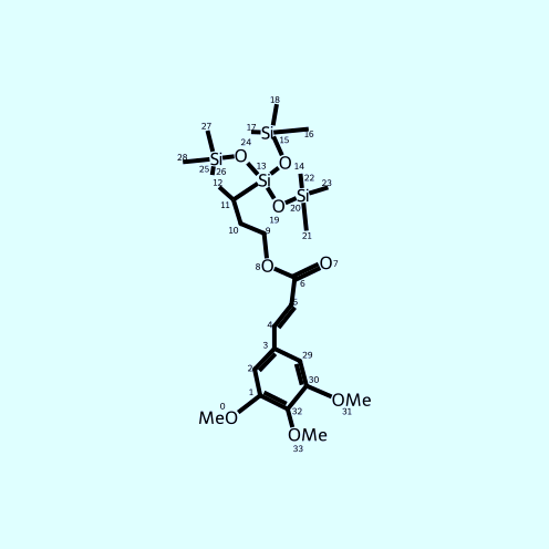 COc1cc(C=CC(=O)OCCC(C)[Si](O[Si](C)(C)C)(O[Si](C)(C)C)O[Si](C)(C)C)cc(OC)c1OC